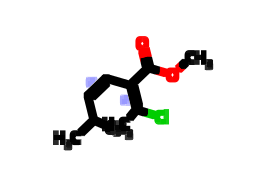 COC(=O)C(/C=C\C(C)C)=C(/C)Cl